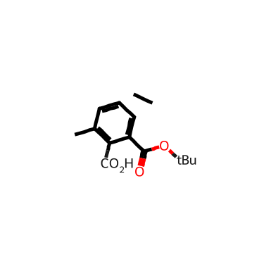 CC.Cc1cccc(C(=O)OC(C)(C)C)c1C(=O)O